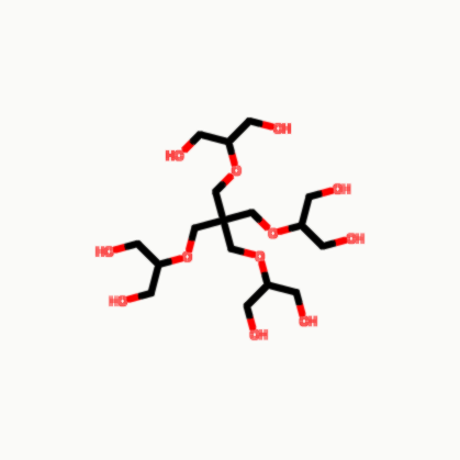 OCC(CO)OCC(COC(CO)CO)(COC(CO)CO)COC(CO)CO